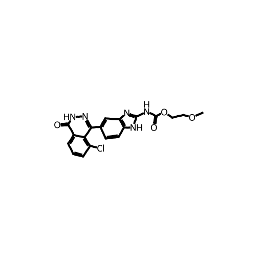 COCCOC(=O)Nc1nc2cc(-c3n[nH]c(=O)c4cccc(Cl)c34)ccc2[nH]1